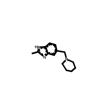 Cc1nc2cc(CN3CCCCC3)ccc2[nH]1